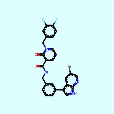 O=C(NCc1cccc(-c2c[nH]c3ncc(Br)cc23)c1)c1cccn(Cc2ccc(F)c(F)c2)c1=O